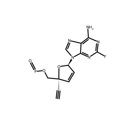 C#C[C@@]1(COP=O)C=C[C@H](n2cnc3c(N)nc(F)nc32)O1